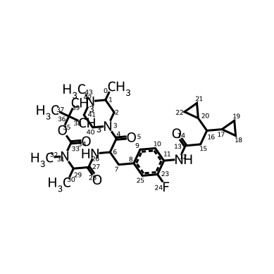 CC1CN(C(=O)C(Cc2ccc(NC(=O)CC(C3CC3)C3CC3)c(F)c2)NC(=O)C(C)N(C)C(=O)OC(C)(C)C)CCN1C